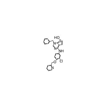 OS1=C2C(=C(Nc3ccc(OCc4ccccn4)c(Cl)c3)N=CN2Cc2ccccc2)C=C1